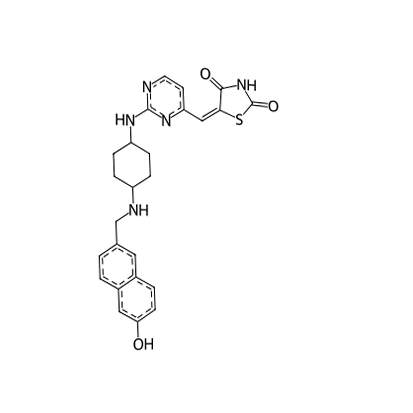 O=C1NC(=O)/C(=C\c2ccnc(NC3CCC(NCc4ccc5cc(O)ccc5c4)CC3)n2)S1